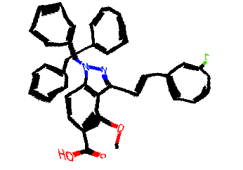 COc1c(C(=O)O)ccc2c1c(C=Cc1cccc(F)c1)nn2C(c1ccccc1)(c1ccccc1)c1ccccc1